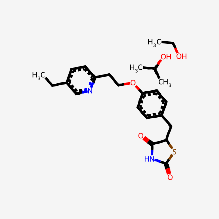 CC(C)O.CCO.CCc1ccc(CCOc2ccc(CC3SC(=O)NC3=O)cc2)nc1